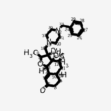 CC1O[C@H]2C3=CC(=O)CC[C@@H]3CC(C)C2(O)C1(O)CN1CCN(Cc2ccccc2)CC1